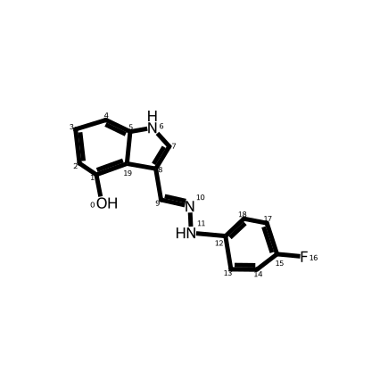 Oc1cccc2[nH]cc(C=NNc3ccc(F)cc3)c12